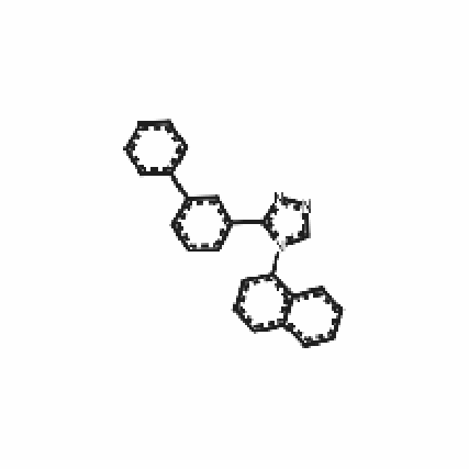 c1ccc(-c2cccc(-c3nncn3-c3cccc4ccccc34)c2)cc1